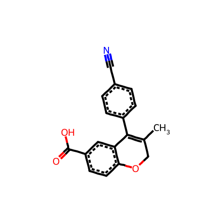 CC1=C(c2ccc(C#N)cc2)c2cc(C(=O)O)ccc2OC1